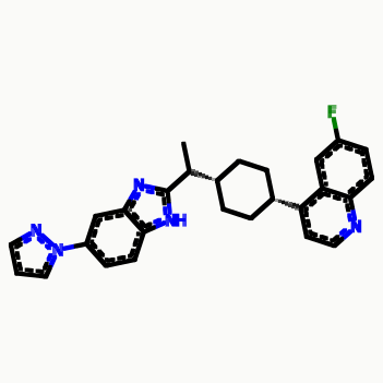 CC(c1nc2cc(-n3cccn3)ccc2[nH]1)[C@H]1CC[C@@H](c2ccnc3ccc(F)cc32)CC1